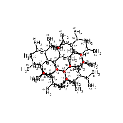 BBB(B)B(B(B(B)B)B(B)B)B(B(B(B)B)B(B)B)B(B(B(I)I)B(B(B(B(B)B)B(B)B)B(B(B)B)B(B)B)B(B(B(B)B)B(B)B)B(B(B)B)B(B)B)B(B(B(B)B)B(B)B)B(B(B)B)B(B)B